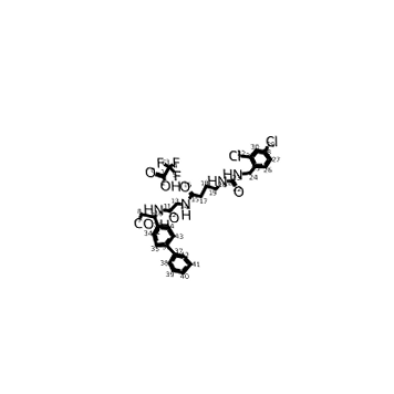 O=C(O)C(F)(F)F.O=C(O)CC(NC(=O)CNC(=O)CCCNC(=O)NCc1ccc(Cl)cc1Cl)c1ccc(-c2ccccc2)cc1